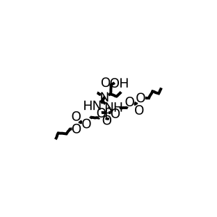 CCCCOC(=O)OCCOP(=O)(NC(=N)N(C)C(CC)C(=O)O)OCCOC(=O)OCCCC